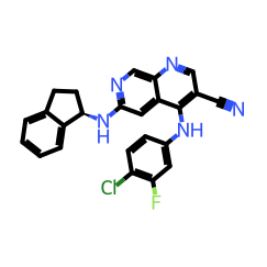 N#Cc1cnc2cnc(N[C@@H]3CCc4ccccc43)cc2c1Nc1ccc(Cl)c(F)c1